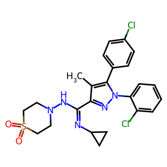 Cc1c(C(=NC2CC2)NN2CCS(=O)(=O)CC2)nn(-c2ccccc2Cl)c1-c1ccc(Cl)cc1